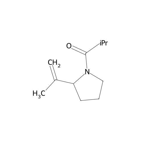 C=C(C)C1CCCN1C(=O)C(C)C